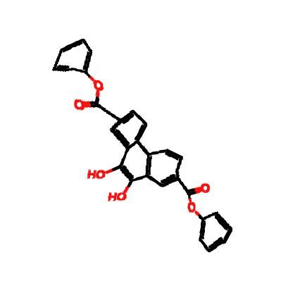 O=C(Oc1ccccc1)c1ccc2c(c1)c(O)c(O)c1cc(C(=O)Oc3ccccc3)ccc12